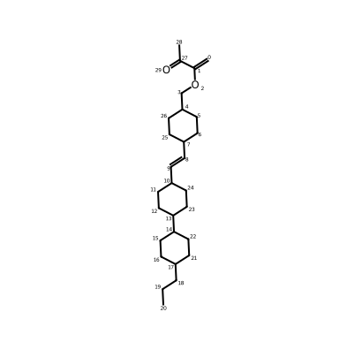 C=C(OCC1CCC(/C=C/C2CCC(C3CCC(CCC)CC3)CC2)CC1)C(C)=O